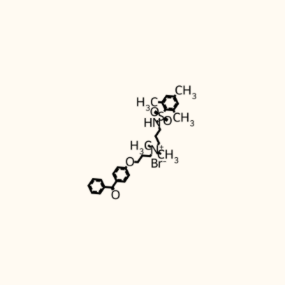 Cc1cc(C)c(S(=O)(=O)NCCC[N+](C)(C)CCCOc2ccc(C(=O)c3ccccc3)cc2)c(C)c1.[Br-]